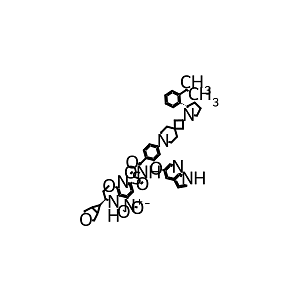 CC(C)c1ccccc1[C@@H]1CCCN1C1CC2(CCN(c3ccc(C(=O)NS(=O)(=O)c4cc([N+](=O)[O-])c5c(n4)OC[C@H](C4C6COCC64)N5)c(Oc4cnc5[nH]ccc5c4)c3)CC2)C1